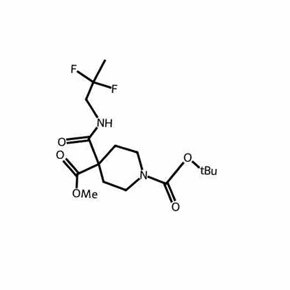 COC(=O)C1(C(=O)NCC(C)(F)F)CCN(C(=O)OC(C)(C)C)CC1